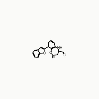 C[C@@H]1CC(C=O)Nc2cccc(-c3cc4ccccc4o3)c2O1